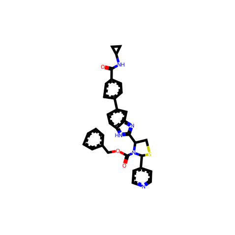 O=C(NC1CC1)c1ccc(-c2ccc3[nH]c(C4CSC(c5ccncc5)N4C(=O)OCc4ccccc4)nc3c2)cc1